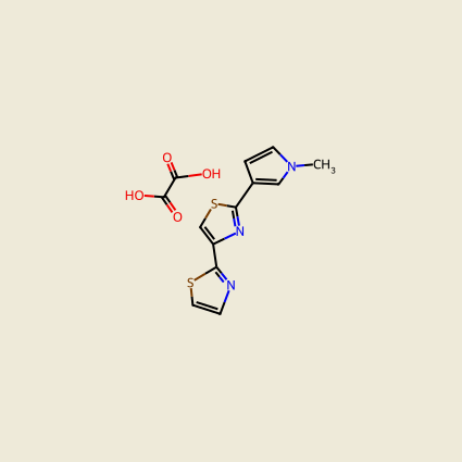 Cn1ccc(-c2nc(-c3nccs3)cs2)c1.O=C(O)C(=O)O